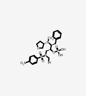 CC(C)CN(C[C@H](OP(=O)(O)O)[C@H](Cc1ccccc1)N(C(=O)O)[C@H]1CCOC1)S(=O)(=O)c1ccc([N+](=O)[O-])cc1